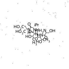 CC(C)[C@H](NC(=O)[C@@H](NC(=O)[C@@H](NC(=O)[C@@H](N)CO)[C@@H](C)O)[C@@H](C)O)C(=O)N[C@@H](CC(=O)O)C(=O)O